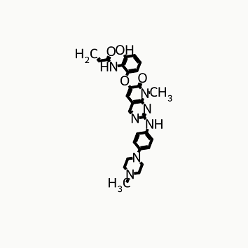 C=CC(=O)Nc1c(O)cccc1Oc1cc2cnc(Nc3ccc(N4CCN(C)CC4)cc3)nc2n(C)c1=O